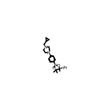 CCC[C@]1(C)OB(c2ccc(N3CCN(CC4CC4)CC3)cc2)OC1(C)C